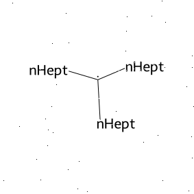 CCCCCCC[C](CCCCCCC)CCCCCCC